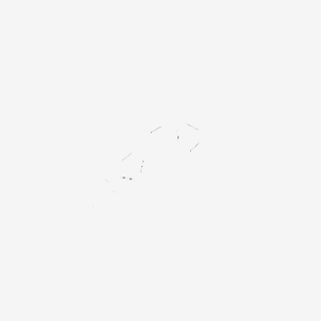 COc1ccc(OC(C(=O)O)c2ccc(S(=O)(=O)C3CC3)cc2)cc1